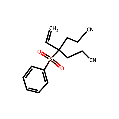 C=CC(CCC#N)(CCC#N)S(=O)(=O)c1ccccc1